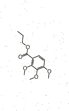 CC[CH]OC(=O)c1ccc(OC)c(OC)c1OC